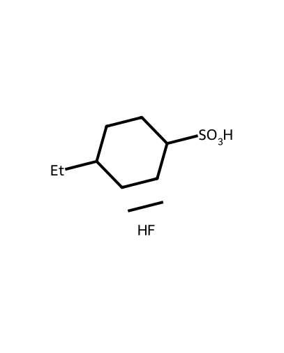 CC.CCC1CCC(S(=O)(=O)O)CC1.F